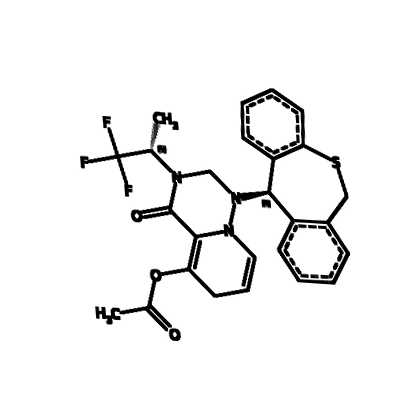 CC(=O)OC1=C2C(=O)N([C@@H](C)C(F)(F)F)CN([C@@H]3c4ccccc4CSc4ccccc43)N2C=CC1